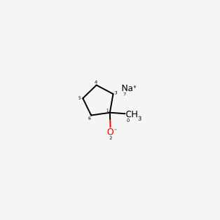 CC1([O-])CCCC1.[Na+]